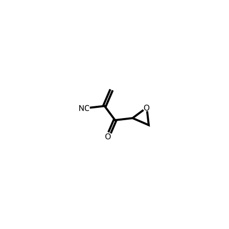 C=C(C#N)C(=O)C1CO1